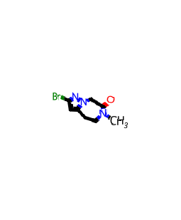 CN1CCc2cc(Br)nn2CC1=O